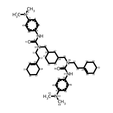 CN(C)c1ccc(NC(=O)N(CCC2=CCCCC2)CC2CCCC(CN(CCC3=CCCCC3)C(=O)Nc3ccc(N(C)C)cc3)C2)cc1